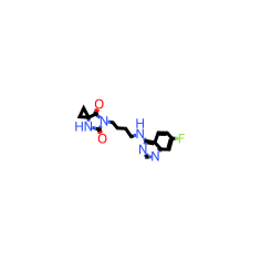 O=C1NC2(CC2)C(=O)N1CCCCNc1ncnc2cc(F)ccc12